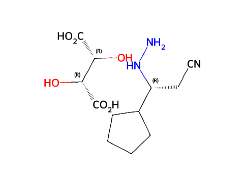 N#CC[C@@H](NN)C1CCCC1.O=C(O)[C@H](O)[C@@H](O)C(=O)O